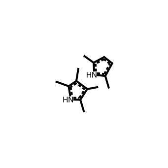 Cc1[nH]c(C)c(C)c1C.Cc1ccc(C)[nH]1